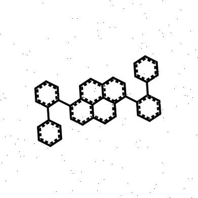 c1ccc(-c2ccccc2-c2ccc3ccc4c(-c5ccccc5-c5ccccc5)ccc5ccc2c3c54)cc1